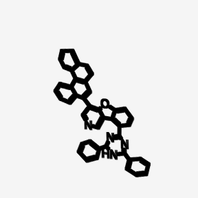 c1ccc(C2=NC(c3cccc4oc5c(-c6cc7ccc8ccccc8c7c7ccccc67)cncc5c34)=NC(c3ccccc3)N2)cc1